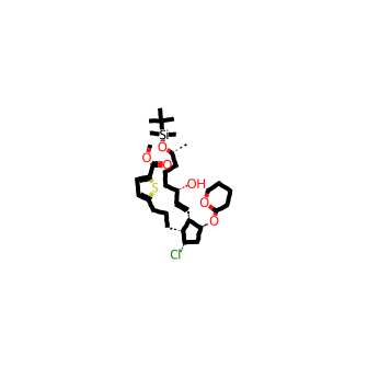 COC(=O)c1ccc(CCC[C@@H]2[C@H](C=C[C@@H](O)CCC[C@@H](C)O[Si](C)(C)C(C)(C)C)[C@H](OC3CCCCO3)C[C@@H]2Cl)s1